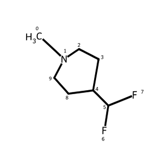 CN1CCC(C(F)F)CC1